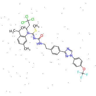 CS/C(=N\C(=O)NCCc1ccc(-c2ncn(-c3ccc(OC(F)(F)F)cc3)n2)cc1)N(CCC(Cl)(Cl)Cl)c1cc(C)ccc1C(C)C